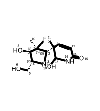 CC1([C@@H]2N[C@H](CO)[C@@H](O)[C@@]2(C)F)C=CC(=O)NC1O